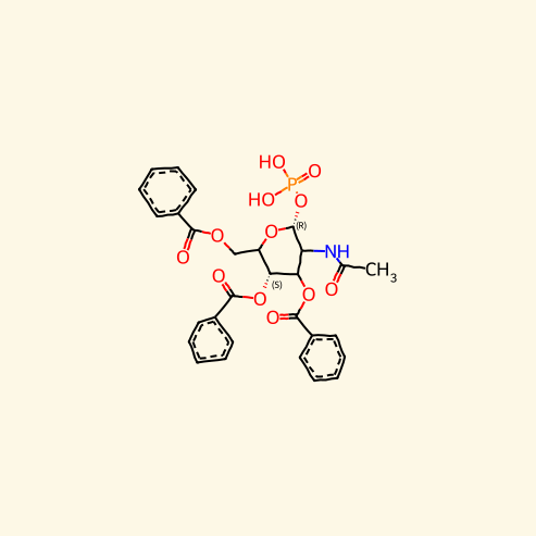 CC(=O)NC1C(OC(=O)c2ccccc2)[C@H](OC(=O)c2ccccc2)C(COC(=O)c2ccccc2)O[C@@H]1OP(=O)(O)O